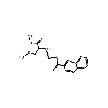 COC(=O)C(CSC)NCCC(=O)c1ccc2ccccc2c1